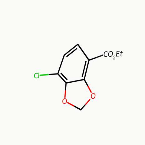 CCOC(=O)c1ccc(Cl)c2c1OCO2